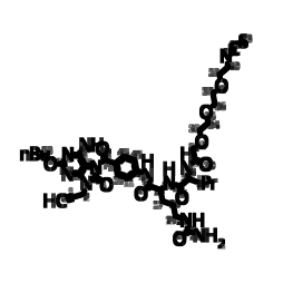 C#CCn1c(=O)n(C(=O)c2ccc(NC(=O)C(CCCNC(N)=O)NC(=O)C(NC(=O)COCCOCCOCCN=C=S)C(C)C)cc2)c2c(N)nc(OCCCC)nc21